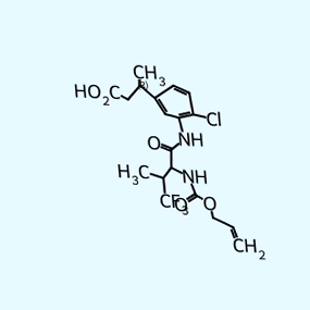 C=CCOC(=O)NC(C(=O)Nc1cc([C@H](C)CC(=O)O)ccc1Cl)C(C)C(F)(F)F